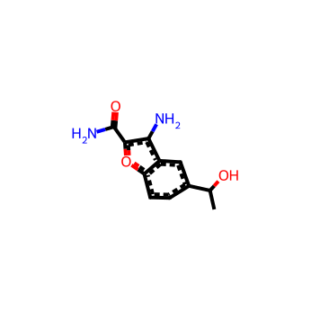 CC(O)c1ccc2oc(C(N)=O)c(N)c2c1